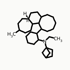 CCN(C1CCCCC1C1CCCCCC2CC[C@H]3CCC(C)CCC3C21)C12CCC(C1)C2